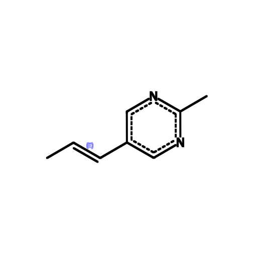 C/C=C/c1cnc(C)nc1